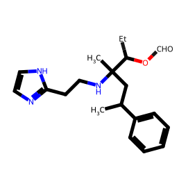 CCC(OC=O)C(C)(CC(C)c1ccccc1)NCCc1ncc[nH]1